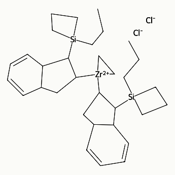 CCC[Si]1(C2C3C=CC=CC3C[CH]2[Zr+2]2([CH]3CC4C=CC=CC4C3[Si]3(CCC)CCC3)[CH2][CH2]2)CCC1.[Cl-].[Cl-]